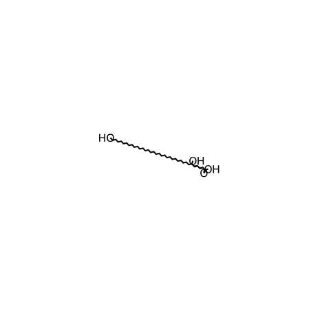 O=C(O)C=CC=CC(O)CCCCCCCCCCCCCCCCCCCCCCCCCCCCCO